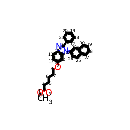 COC(=O)CCCCCOc1ccc2nc(-c3ccccc3)n(-c3ccc4ccccc4c3)c2c1